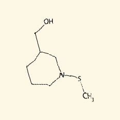 CSN1CCCC(CO)C1